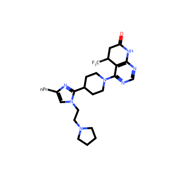 CCCc1cn(CCN2CCCC2)c(C2CCN(c3ncnc4c3C(C(F)(F)F)CC(=O)N4)CC2)n1